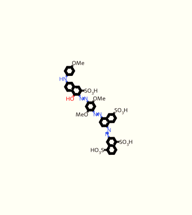 COc1ccc(Nc2ccc3c(O)c(N=Nc4cc(OC)c(N=Nc5ccc(N=Nc6cc(S(=O)(=O)O)c7cccc(S(=O)(=O)O)c7c6)c6ccc(S(=O)(=O)O)cc56)cc4OC)c(S(=O)(=O)O)cc3c2)cc1